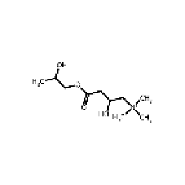 CC(O)COC(=O)CC(O)C[N+](C)(C)C